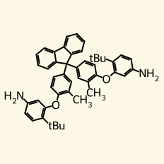 Cc1cc(C2(c3ccc(Oc4cc(N)ccc4C(C)(C)C)c(C)c3)c3ccccc3-c3ccccc32)ccc1Oc1cc(N)ccc1C(C)(C)C